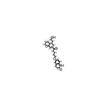 O=C1CCc2cc(OCCCCC(=O)N(CCCCO)CC3CCCCO3)ccc2N1